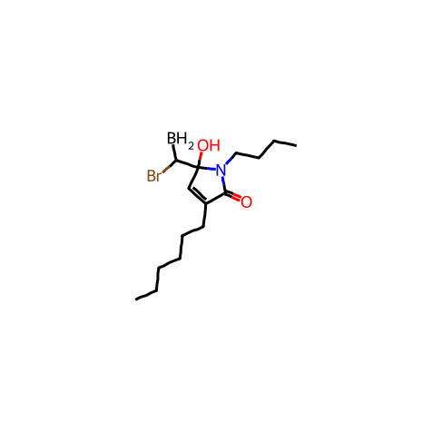 BC(Br)C1(O)C=C(CCCCCC)C(=O)N1CCCC